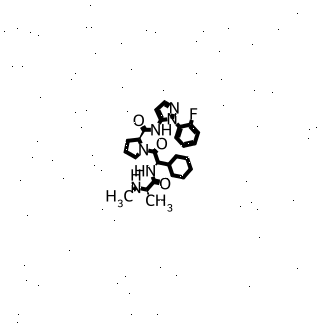 CN[C@@H](C)C(=O)N[C@H](C(=O)N1CCC[C@H]1C(=O)Nc1ccnn1-c1ccccc1F)C1CCCCC1